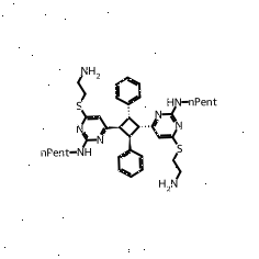 CCCCCNc1nc(SCCN)cc([C@H]2[C@H](c3ccccc3)[C@H](c3cc(SCCN)nc(NCCCCC)n3)[C@H]2c2ccccc2)n1